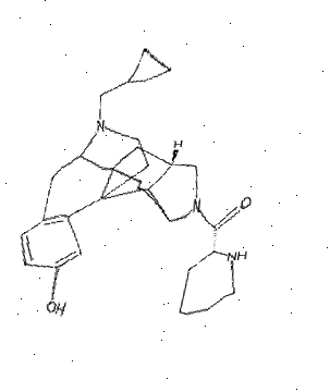 O=C([C@H]1CCCCN1)N1C[C@H]2CC34CCC1C2C31CCN(CC2CC2)C4Cc2ccc(O)cc21